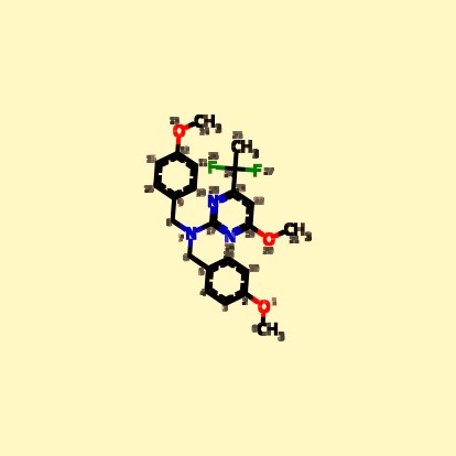 COc1ccc(CN(Cc2ccc(OC)cc2)c2nc(OC)cc(C(C)(F)F)n2)cc1